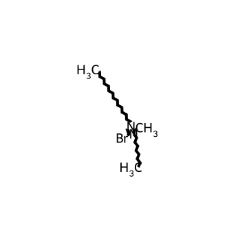 CCCCCCCCCCCCCCCCN1C=C(Br)N(CCCCCCCC)C1C